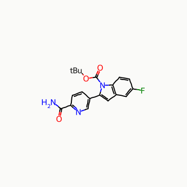 CC(C)(C)OC(=O)n1c(-c2ccc(C(N)=O)nc2)cc2cc(F)ccc21